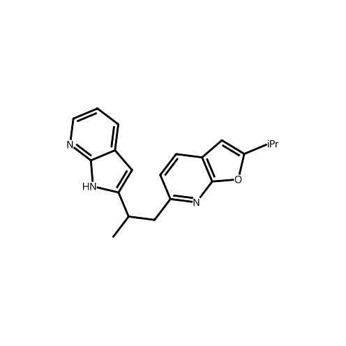 CC(C)c1cc2ccc(CC(C)c3cc4cccnc4[nH]3)nc2o1